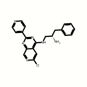 N[C@H](CNc1nc(-c2ccncc2)nc2cnc(Cl)cc12)Cc1ccccc1